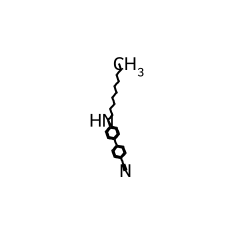 CCCCCCCCCCNc1ccc(-c2ccc(C#N)cc2)cc1